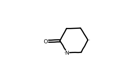 O=C1CC[CH]C[N]1